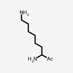 CC(=O)C(N)CCCCCCN